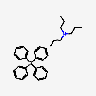 CCCN(CCC)CCC.c1ccc([B-](c2ccccc2)(c2ccccc2)c2ccccc2)cc1